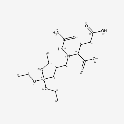 CCO[Si](CCCN(NC(N)=O)C(CCC(=O)O)C(=O)O)(OCC)OCC